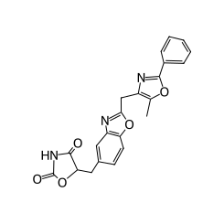 Cc1oc(-c2ccccc2)nc1Cc1nc2cc(CC3OC(=O)NC3=O)ccc2o1